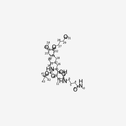 CNC(=O)CCCNC(=O)C(C)CC(O)C(CC(Cc1ccc(OC)c(OCCCOC)c1)C(C)C)NC(=O)OC(C)(C)C